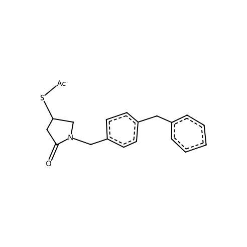 CC(=O)SC1CC(=O)N(Cc2ccc(Cc3ccccc3)cc2)C1